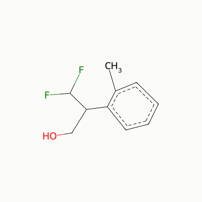 Cc1ccccc1C(CO)C(F)F